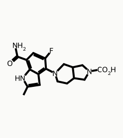 Cc1cc2c(N3CCC4CN(C(=O)O)CC4C3)c(F)cc(C(N)=O)c2[nH]1